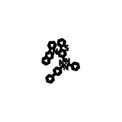 c1ccc(-c2ccc(-c3nc(-c4ccccc4)nc(-c4cc(-n5c6ccccc6c6cc7ccccc7cc65)c5c(c4)sc4ccccc45)n3)cc2)cc1